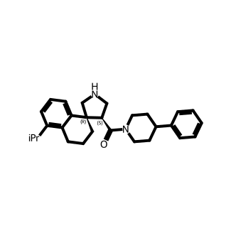 CC(C)c1cccc2c1CCC[C@]21CNC[C@H]1C(=O)N1CCC(c2ccccc2)CC1